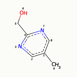 Cc1cnc(CO)nc1